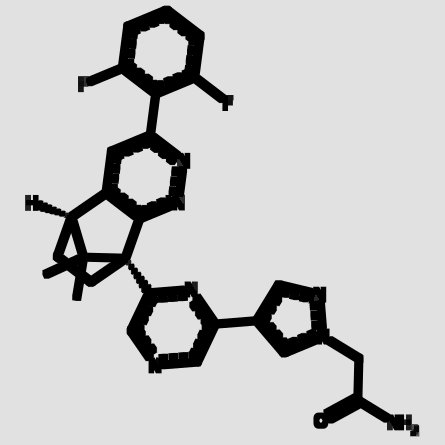 CC1(C)[C@H]2CC[C@]1(c1cncc(-c3cnn(CC(N)=O)c3)n1)c1nnc(-c3c(F)cccc3F)cc12